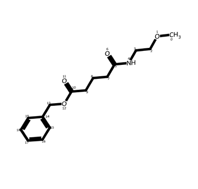 COCCNC(=O)CCCC(=O)OCc1ccccc1